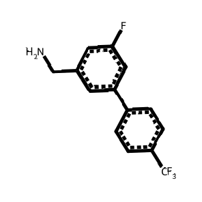 NCc1cc(F)cc(-c2ccc(C(F)(F)F)cc2)c1